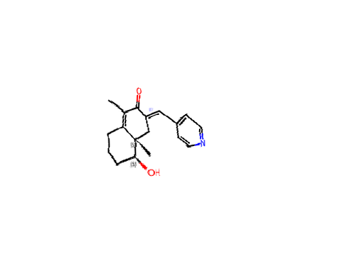 CC1=C2CCC[C@H](O)[C@@]2(C)C/C(=C\c2ccncc2)C1=O